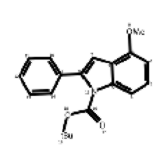 COc1cccc2c1cc(-c1ccccc1)n2C(=O)OC(C)(C)C